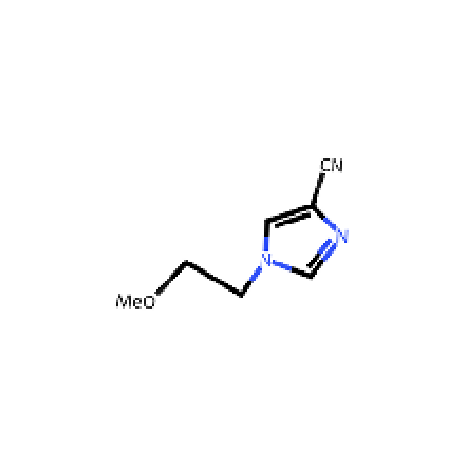 COCCn1cnc(C#N)c1